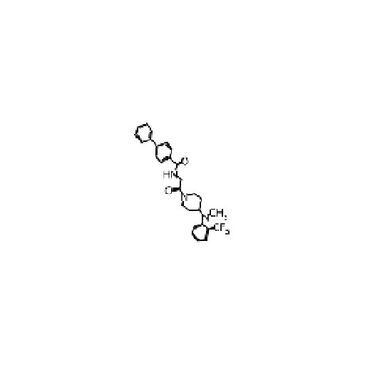 CN(c1ccccc1C(F)(F)F)C1CCN(C(=O)CNC(=O)c2ccc(-c3ccccc3)cc2)CC1